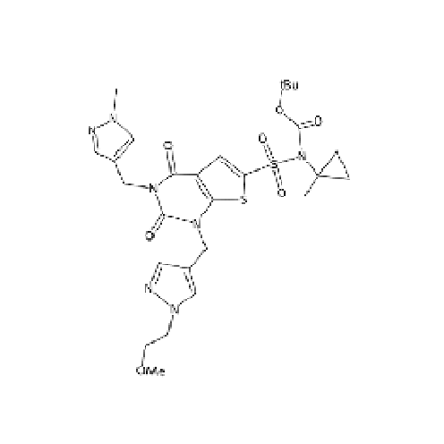 COCCn1cc(Cn2c(=O)n(Cc3cnn(C)c3)c(=O)c3cc(S(=O)(=O)N(C(=O)OC(C)(C)C)C4(C)CC4)sc32)cn1